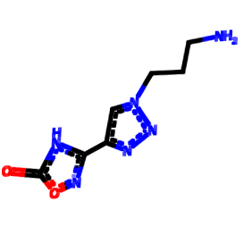 NCCCn1cc(-c2noc(=O)[nH]2)nn1